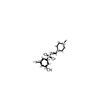 CN1CCN(/C=N/S(=O)(=O)c2cc(I)cc(C#N)c2)CC1